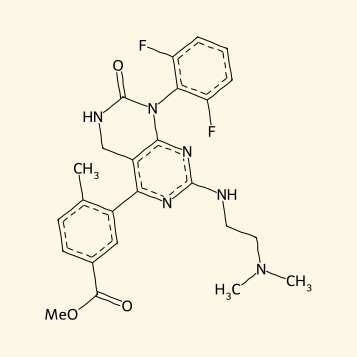 COC(=O)c1ccc(C)c(-c2nc(NCCN(C)C)nc3c2CNC(=O)N3c2c(F)cccc2F)c1